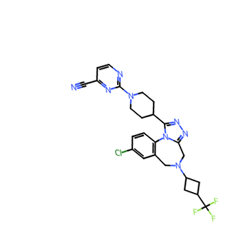 N#Cc1ccnc(N2CCC(c3nnc4n3-c3ccc(Cl)cc3CN(C3CC(C(F)(F)F)C3)C4)CC2)n1